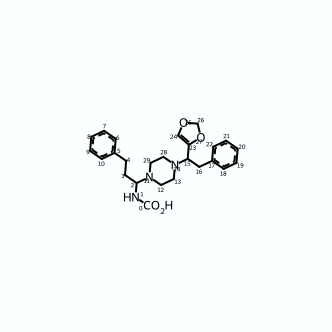 O=C(O)NC(CCc1ccccc1)N1CCN(C(Cc2ccccc2)C2=COCO2)CC1